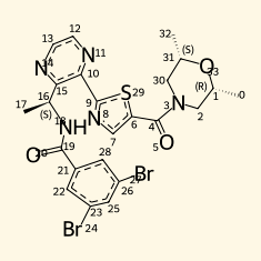 C[C@@H]1CN(C(=O)c2cnc(-c3nccnc3[C@H](C)NC(=O)c3cc(Br)cc(Br)c3)s2)C[C@H](C)O1